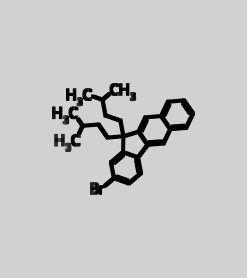 CC(C)CCC1(CCC(C)C)c2cc(Br)ccc2-c2cc3ccccc3cc21